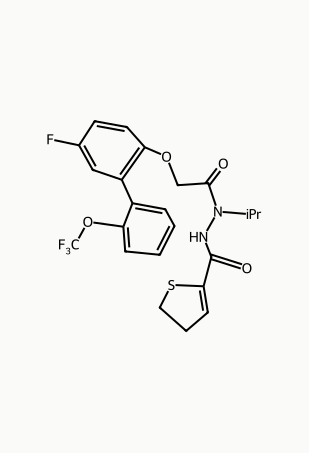 CC(C)N(NC(=O)C1=CCCS1)C(=O)COc1ccc(F)cc1-c1ccccc1OC(F)(F)F